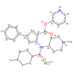 CC1CCC(C(=O)N(c2cc(-c3ccccc3)sc2C(=O)Oc2cccnc2)C2CCN(C)CC2)CC1.Cl